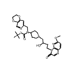 COc1ccc2ncc(=O)n(CCC(O)CN3CCC(N(Cc4cc5c(cn4)OCCO5)C(=O)OC(C)(C)C)CC3)c2n1